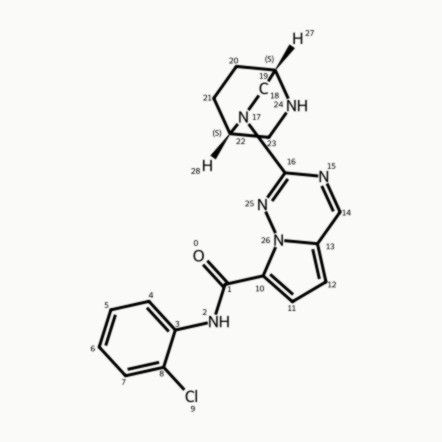 O=C(Nc1ccccc1Cl)c1ccc2cnc(N3C[C@@H]4CC[C@H]3CN4)nn12